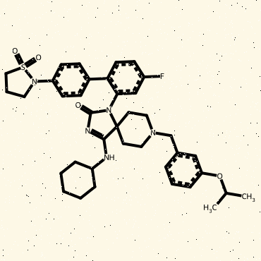 CC(C)Oc1cccc(CN2CCC3(CC2)C(NC2CCCCC2)=NC(=O)N3c2cc(F)ccc2-c2ccc(N3CCCS3(=O)=O)cc2)c1